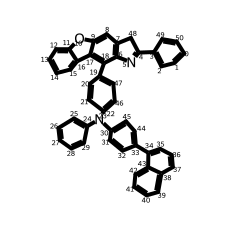 c1ccc(C2=Nc3c(cc4oc5ccccc5c4c3-c3ccc(N(c4ccccc4)c4ccc(-c5cccc6ccccc56)cc4)cc3)C2)cc1